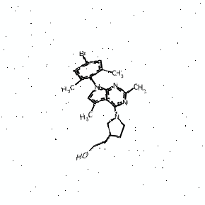 Cc1nc(N2CCC(CCO)C2)c2c(C)cn(-c3c(C)cc(Br)cc3C)c2n1